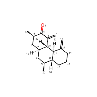 C=C1C(=O)[C@H](C)C[C@@H]2C[C@H](C)[C@H]3CCCC(=C)[C@@H]3[C@@H]12